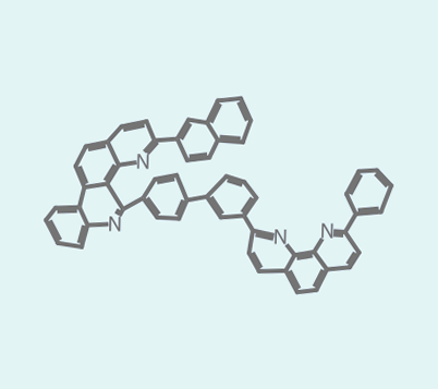 c1ccc(-c2ccc3ccc4ccc(-c5cccc(-c6ccc(-c7nc8ccccc8c8ccc9ccc(-c%10ccc%11ccccc%11c%10)nc9c78)cc6)c5)nc4c3n2)cc1